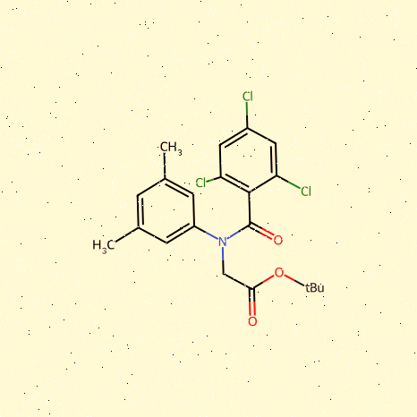 Cc1cc(C)cc(N(CC(=O)OC(C)(C)C)C(=O)c2c(Cl)cc(Cl)cc2Cl)c1